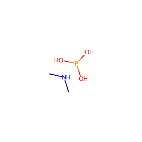 CNC.OP(O)O